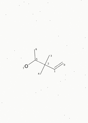 C=CC(C)(C)C(C)[O]